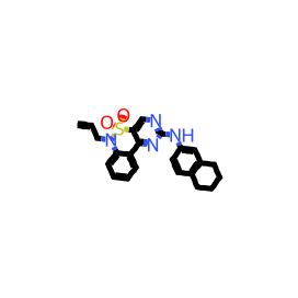 C=CCN1c2ccccc2-c2nc(Nc3ccc4c(c3)CCCC4)ncc2S1(=O)=O